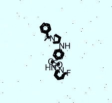 C[C@@H](c1ccccc1)N1CCC(Nc2ccc(S(=O)(=O)Nc3cccc(F)n3)cc2)C1